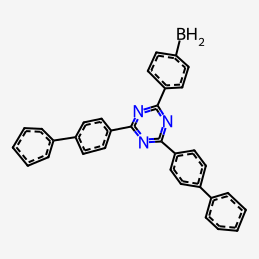 Bc1ccc(-c2nc(-c3ccc(-c4ccccc4)cc3)nc(-c3ccc(-c4ccccc4)cc3)n2)cc1